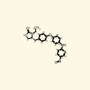 CCN1C(=O)OC[C@@H]1Cc1ccc(Oc2ccc(Nc3ccc(N=O)cn3)cc2)cc1